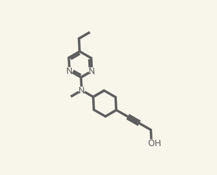 CCc1cnc(N(C)C2CCC(C#CCO)CC2)nc1